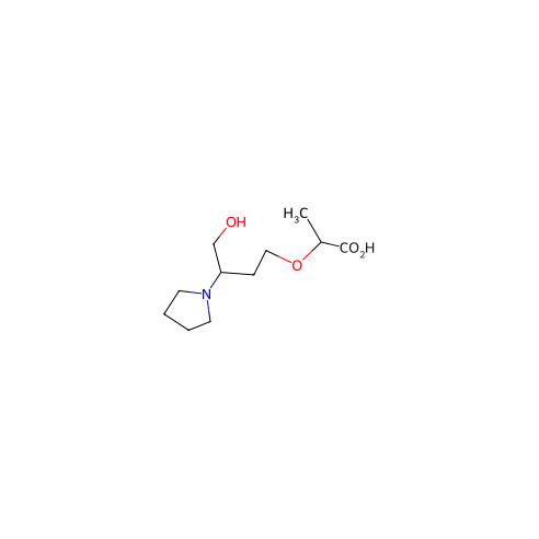 CC(OCCC(CO)N1CCCC1)C(=O)O